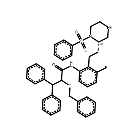 O=C(Nc1cccc(F)c1CC[C@H]1CNCCN1S(=O)(=O)c1ccccc1)C(OCc1ccccc1)C(c1ccccc1)c1ccccc1